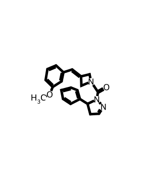 COc1cccc(C=C2CN(C(=O)N3N=CCC3c3ccccc3)C2)c1